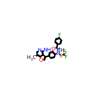 Cc1cnc(N)c2c(-c3ccc(NSC(F)F)c(OC(C)c4ccc(F)cc4)c3)coc12